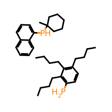 CC1(Pc2cccc3ccccc23)CCCCC1.CCCCc1ccc(P)c(CCCC)c1CCCC